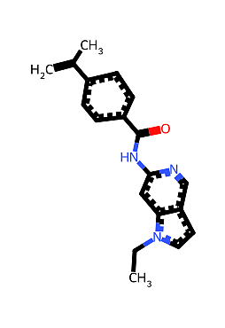 C=C(C)c1ccc(C(=O)Nc2cc3c(ccn3CC)cn2)cc1